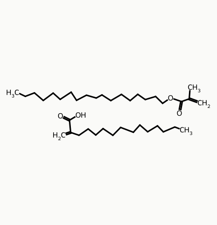 C=C(C)C(=O)OCCCCCCCCCCCCCCCCCC.C=C(CCCCCCCCCCCCC)C(=O)O